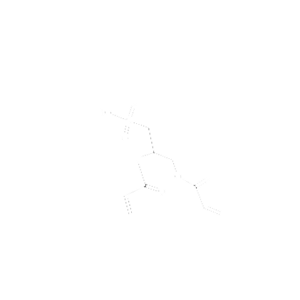 C=CC(=O)OCC(CS(=O)(=O)O)OC(=O)C=C